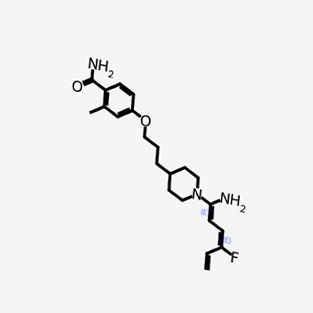 C=C/C(F)=C\C=C(/N)N1CCC(CCCOc2ccc(C(N)=O)c(C)c2)CC1